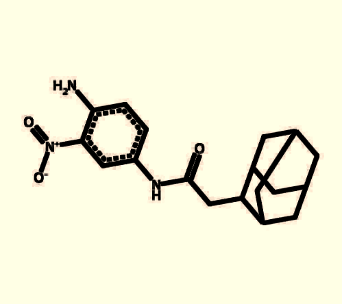 Nc1ccc(NC(=O)CC2C3CC4CC(C3)CC2C4)cc1[N+](=O)[O-]